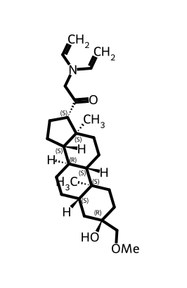 C=CN(C=C)CC(=O)[C@H]1CC[C@H]2[C@@H]3CC[C@H]4C[C@@](O)(COC)CC[C@]4(C)[C@H]3CC[C@]12C